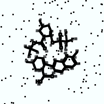 CC1CC=C(OS(=O)(=O)C(F)(F)F)N(C(=O)OC(C)(C)C)C1.Cc1ccc2ccc(C3=CCC(C)CN3C(=O)O)cc2n1